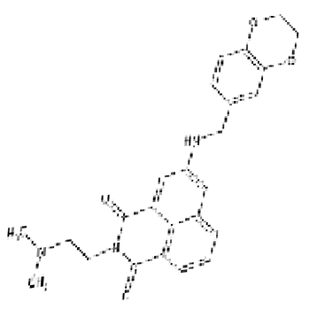 CN(C)CCN1C(=O)c2cccc3cc(NCc4ccc5c(c4)OCCO5)cc(c23)C1=O